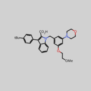 COCCOc1cc(Cn2c(C(=O)O)c(-c3ccc(C(C)(C)C)cc3)c3ccccc32)cc(N2CCOCC2)c1